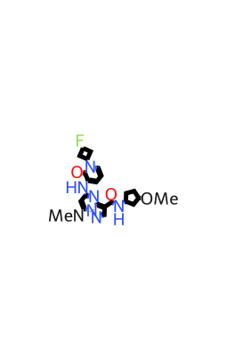 CNc1cc(Nc2cccn(C3CC(F)C3)c2=O)nc2c(C(=O)NC3CCC(OC)C3)cnn12